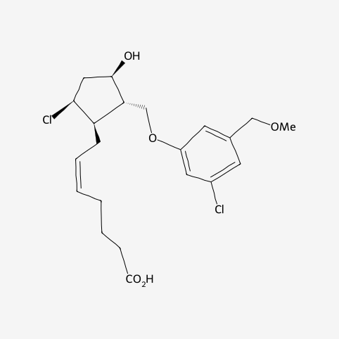 COCc1cc(Cl)cc(OC[C@@H]2[C@@H](C/C=C\CCCC(=O)O)[C@@H](Cl)C[C@H]2O)c1